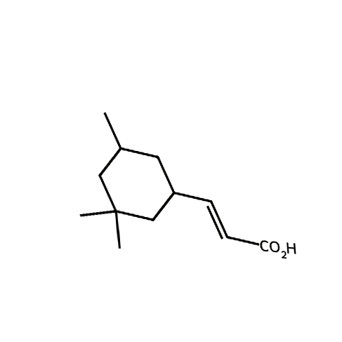 CC1CC(C=CC(=O)O)CC(C)(C)C1